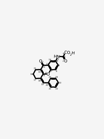 O=C(O)C(=O)Nc1ccc2oc3c(c(=O)c2c1)CCC/C3=C/c1ccccc1